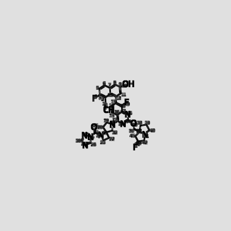 C#Cc1c(F)ccc2cc(O)cc(-c3ccc4c(N5CCC6(CCN6C(=O)n6cncn6)C5)nc(OC[C@@]56CCCN5C[C@H](F)C6)nc4c3F)c12